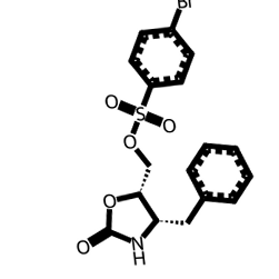 O=C1N[C@@H](Cc2ccccc2)[C@@H](COS(=O)(=O)c2ccc(Br)cc2)O1